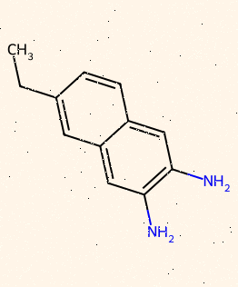 CCc1ccc2cc(N)c(N)cc2c1